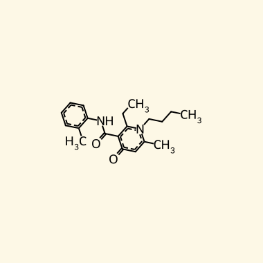 CCCCn1c(C)cc(=O)c(C(=O)Nc2ccccc2C)c1CC